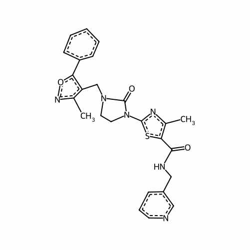 Cc1nc(N2CCN(Cc3c(C)noc3-c3ccccc3)C2=O)sc1C(=O)NCc1cccnc1